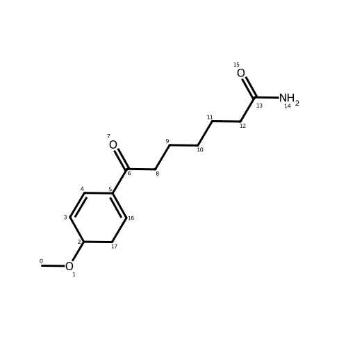 COC1C=CC(C(=O)CCCCCC(N)=O)=CC1